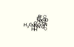 CCNC(=O)Nc1cc(-c2nc(C(F)(F)F)cs2)c(-c2cc(C(=O)OC3CCCC3)cnc2OC2CCCC2)cn1